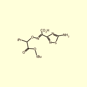 CC(C)C(ON=C(C(=O)O)c1nsc(N)n1)C(=O)OC(C)(C)C